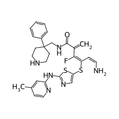 C=C(C(=O)NCC1(c2ccccc2)CCNCC1)/C(F)=C(\C=C/N)Sc1cnc(Nc2cc(C)ccn2)s1